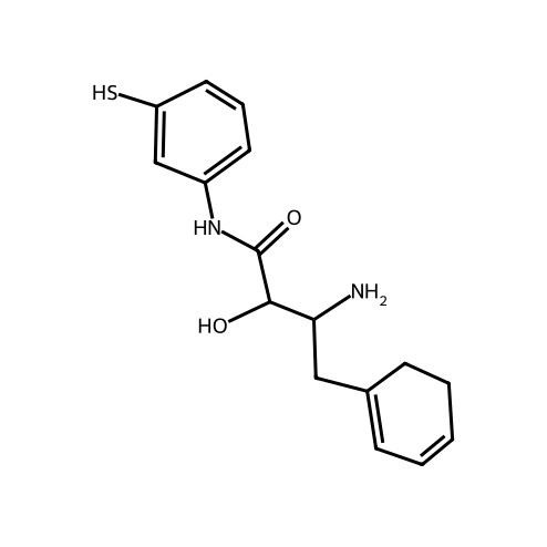 NC(CC1=CC=CCC1)C(O)C(=O)Nc1cccc(S)c1